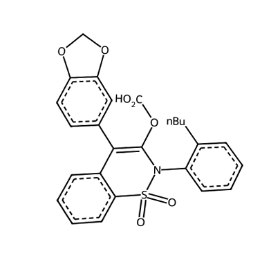 CCCCc1ccccc1N1C(OC(=O)O)=C(c2ccc3c(c2)OCO3)c2ccccc2S1(=O)=O